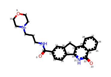 O=C(NCCCN1CCOCC1)c1ccc2c(c1)Cc1c-2[nH]c(=O)c2ccccc12